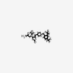 NC(=O)CN(C1=NC(=O)S/C1=C\C1CCN(Cc2ccc(C(F)(F)F)cc2C(F)(F)F)CC1)C1COC1